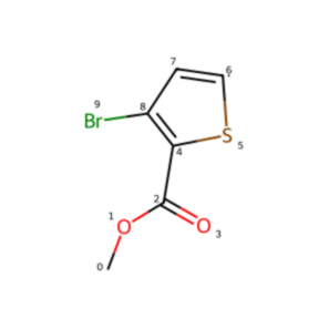 COC(=O)c1s[c]cc1Br